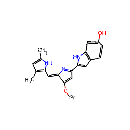 Cc1cc(C)c(C=C2N=C(c3cc4ccc(O)cc4[nH]3)C=C2OC(C)C)[nH]1